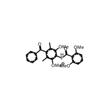 COc1cccc(OC)c1C(=O)[PH](=O)c1c(OC)c(C)c(C(=O)c2ccccc2)c(C)c1OC